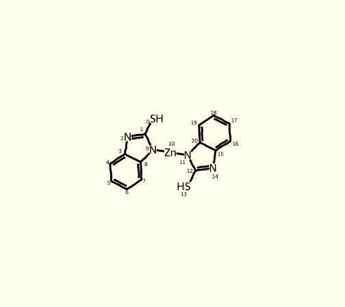 Sc1nc2ccccc2[n]1[Zn][n]1c(S)nc2ccccc21